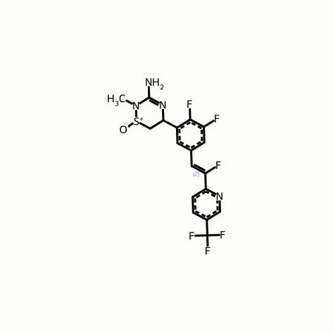 CN1C(N)=NC(c2cc(/C=C(\F)c3ccc(C(F)(F)F)cn3)cc(F)c2F)C[S+]1[O-]